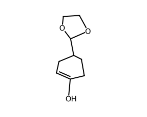 OC1=CCC(C2OCCO2)CC1